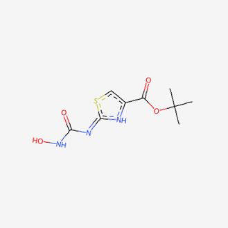 CC(C)(C)OC(=O)c1cs/c(=N\C(=O)NO)[nH]1